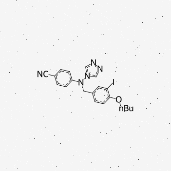 CCCCOc1ccc(CN(c2ccc(C#N)cc2)n2cnnc2)cc1I